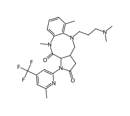 Cc1cc(C(F)(F)F)cc(N2C(=O)CC3CN(CCCN(C)C)c4c(C)cccc4N(C)C(=O)C32)n1